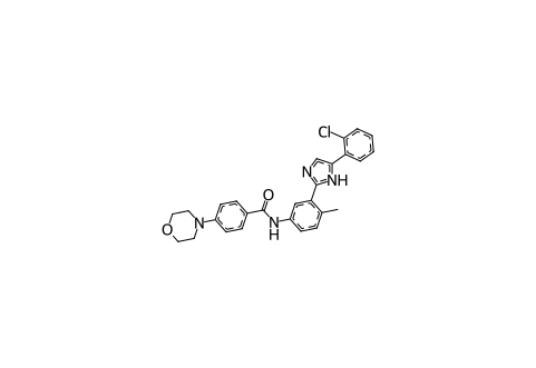 Cc1ccc(NC(=O)c2ccc(N3CCOCC3)cc2)cc1-c1ncc(-c2ccccc2Cl)[nH]1